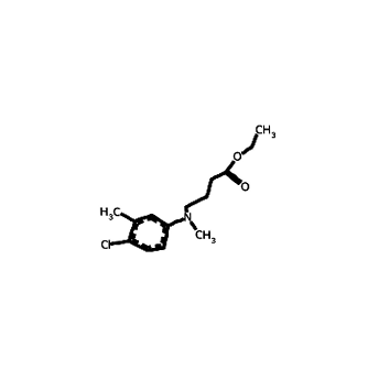 CCOC(=O)CCCN(C)c1ccc(Cl)c(C)c1